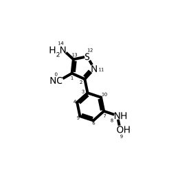 N#Cc1c(-c2cccc(NO)c2)nsc1N